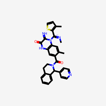 C/N=C(/c1sccc1C)n1c(=N)c(=O)[nH]c2cc(C(=O)N3CCc4ccccc4C3c3ccncc3)c(C)cc21